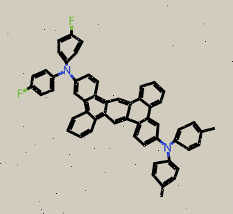 Cc1ccc(N(c2ccc(C)cc2)c2ccc3c(c2)c2ccccc2c2cc4c5ccc(N(c6ccc(F)cc6)c6ccc(F)cc6)cc5c5ccccc5c4cc32)cc1